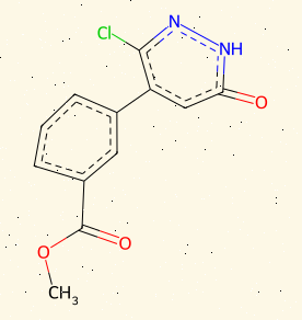 COC(=O)c1cccc(-c2cc(=O)[nH]nc2Cl)c1